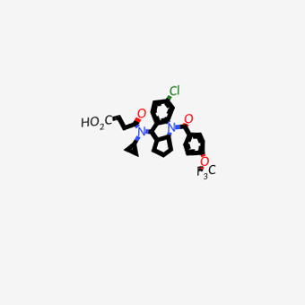 O=C(O)CCC(=O)N(C1CC1)C1c2ccc(Cl)cc2N(C(=O)c2ccc(OC(F)(F)F)cc2)C2CCCC21